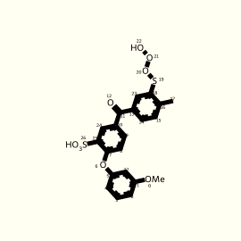 COc1cccc(Oc2ccc(C(=O)c3ccc(C)c(SOOO)c3)cc2S(=O)(=O)O)c1